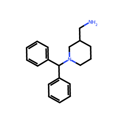 NCC1CCCN(C(c2ccccc2)c2ccccc2)C1